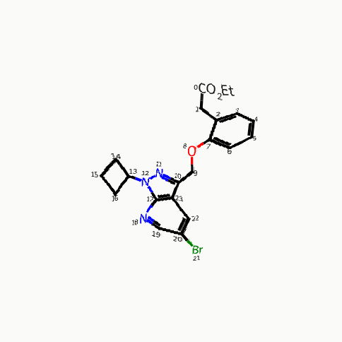 CCOC(=O)Cc1ccccc1OCc1nn(C2CCC2)c2ncc(Br)cc12